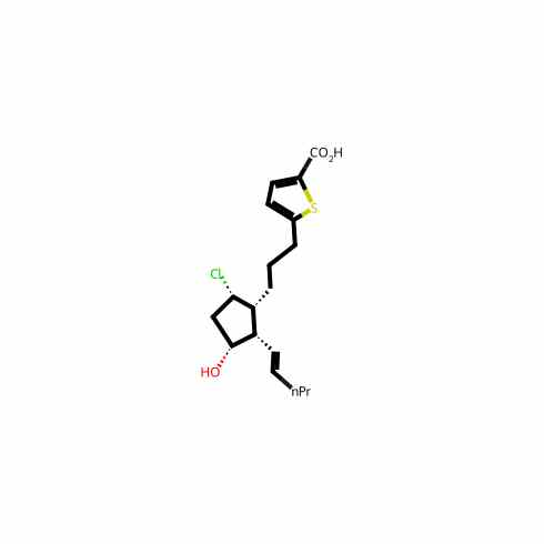 CCCC=C[C@H]1[C@@H](CCCc2ccc(C(=O)O)s2)[C@@H](Cl)C[C@H]1O